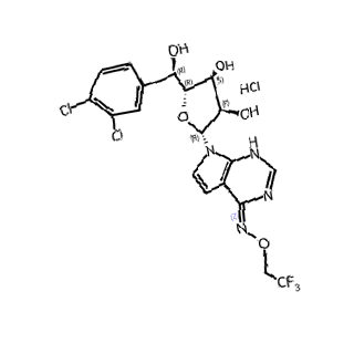 Cl.O[C@@H]1[C@H](O)[C@@H]([C@H](O)c2ccc(Cl)c(Cl)c2)O[C@H]1n1ccc2/c(=N/OCC(F)(F)F)nc[nH]c21